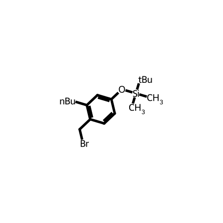 CCCCc1cc(O[Si](C)(C)C(C)(C)C)ccc1CBr